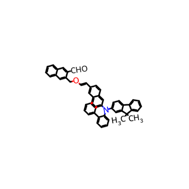 CC1(C)c2ccccc2-c2ccc(N(c3ccc4cc(C=COCc5cc6ccccc6cc5C=O)ccc4c3)c3ccccc3-c3ccccc3)cc21